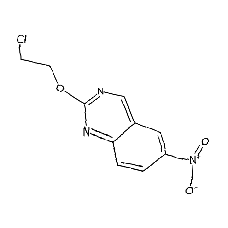 O=[N+]([O-])c1ccc2nc(OCCCl)ncc2c1